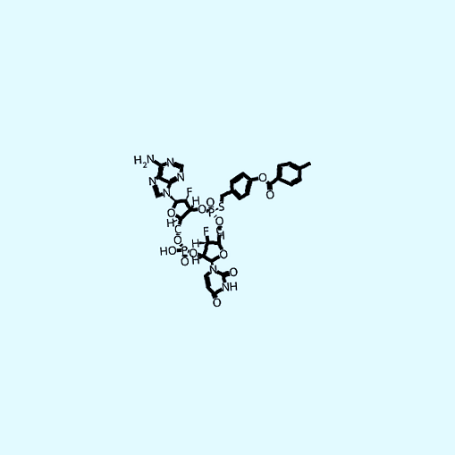 Cc1ccc(C(=O)Oc2ccc(CS[P@]3(=O)OC[C@H]4O[C@@H](n5ccc(=O)[nH]c5=O)[C@H](OP(=O)(O)OC[C@H]5O[C@@H](n6cnc7c(N)ncnc76)[C@H](F)[C@@H]5O3)[C@@H]4F)cc2)cc1